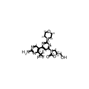 Nc1ncc(-c2cc(N3C[C@@H](CO)OC3=O)nc(N3CCOCC3)n2)c(C(F)(F)F)n1